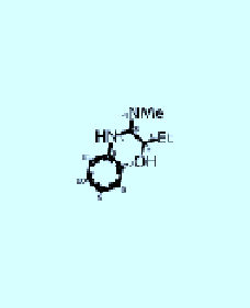 CCC(O)C(NC)Nc1ccccc1